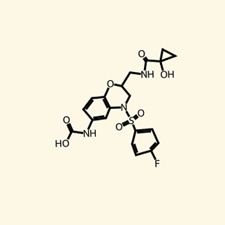 O=C(O)Nc1ccc2c(c1)N(S(=O)(=O)c1ccc(F)cc1)CC(CNC(=O)C1(O)CC1)O2